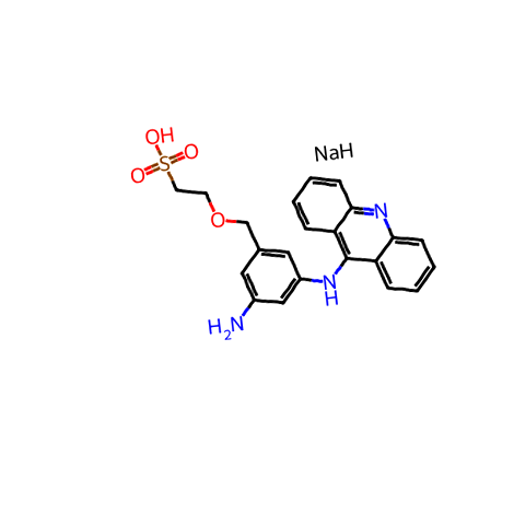 Nc1cc(COCCS(=O)(=O)O)cc(Nc2c3ccccc3nc3ccccc23)c1.[NaH]